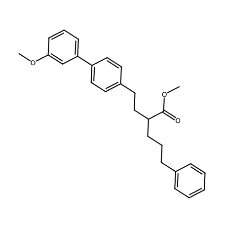 COC(=O)C(CCCc1ccccc1)CCc1ccc(-c2cccc(OC)c2)cc1